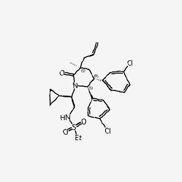 C=CC[C@@]1(C)C[C@H](c2cccc(Cl)c2)[C@@H](c2ccc(Cl)cc2)N(C(CNS(=O)(=O)CC)C2CC2)C1=O